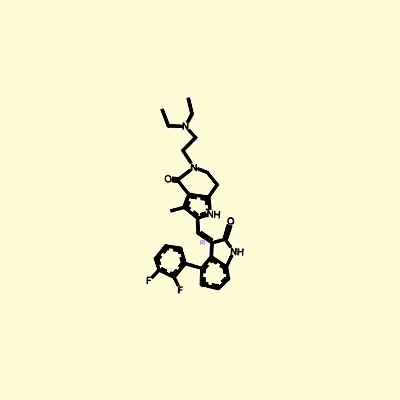 CCN(CC)CCN1CCc2[nH]c(/C=C3\C(=O)Nc4cccc(-c5cccc(F)c5F)c43)c(C)c2C1=O